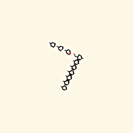 Cc1ccc(CCO)cc1.Cc1ccccc1.Cc1ccccc1.Cc1ccccc1.Cc1ccccc1.Cc1ccccc1.Cc1ccccc1.Cc1ccccc1.Cc1ccccc1.Cc1ccccc1